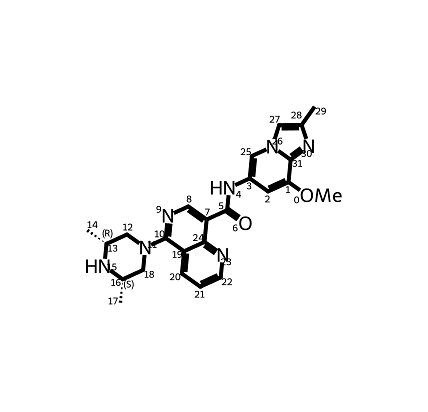 COc1cc(NC(=O)c2cnc(N3C[C@@H](C)N[C@@H](C)C3)c3cccnc23)cn2cc(C)nc12